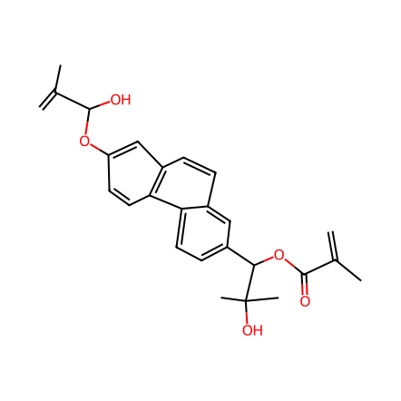 C=C(C)C(=O)OC(c1ccc2c(ccc3cc(OC(O)C(=C)C)ccc32)c1)C(C)(C)O